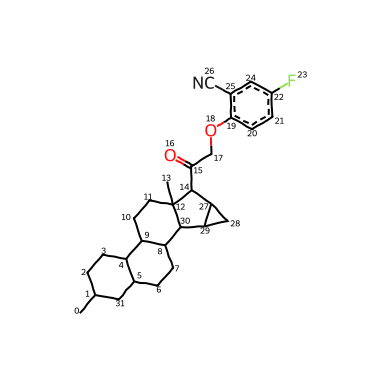 CC1CCC2C(CCC3C2CCC2(C)C(C(=O)COc4ccc(F)cc4C#N)C4CC4C32)C1